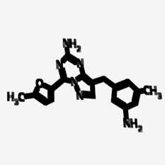 Cc1cc(N)cc(Cc2cnn3c(-c4ccc(C)o4)nc(N)nc23)c1